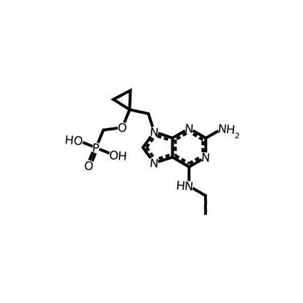 CCNc1nc(N)nc2c1ncn2CC1(OCP(=O)(O)O)CC1